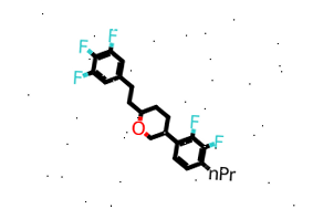 CCCc1ccc(C2CCC(CCc3cc(F)c(F)c(F)c3)OC2)c(F)c1F